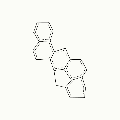 c1ccc2c(c1)ccc1c3c4c(ccc5cccc(c54)C3)cc12